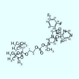 CC(OC(=O)OCCOP(=O)(CC(C)(C)C)OC(C)(C)C)[n+]1cnn(CC(O)(c2ccc(F)cc2F)[C@@H](C)c2ncncc2F)c1